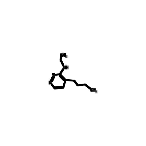 CCCCc1ccnnc1NCC